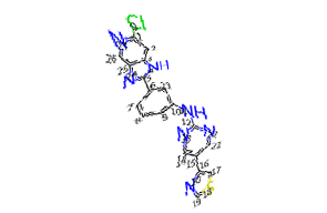 Clc1cc2[nH]c(-c3cccc(Nc4ncc(-c5cscn5)cn4)c3)nc2cn1